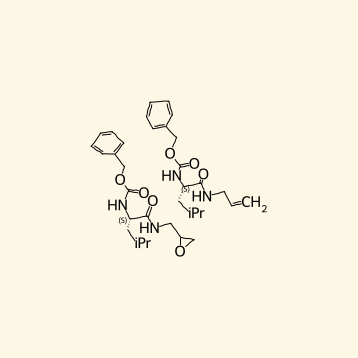 C=CCNC(=O)[C@H](CC(C)C)NC(=O)OCc1ccccc1.CC(C)C[C@H](NC(=O)OCc1ccccc1)C(=O)NCC1CO1